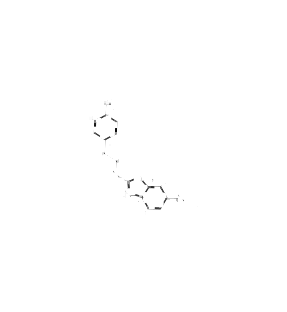 Nc1ccc2nc(NCCc3ccc(Br)cc3)sc2c1